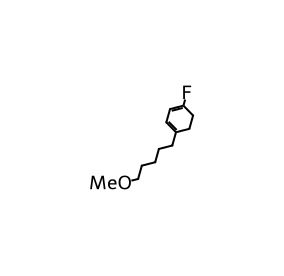 COCCCCCC1=CC=C(F)CC1